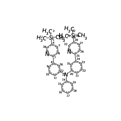 C[Si](C)(C)c1ccc(-c2cccc(N(c3ccccc3)c3cccc(-c4ccc([Si](C)(C)C)cn4)c3)c2)nc1